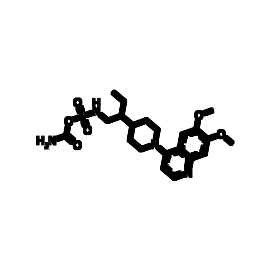 CCC(CNS(=O)(=O)OC(N)=O)C1CCN(c2ccnc3cc(OC)c(OC)cc23)CC1